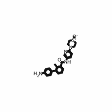 Cc1c(C(=O)Nc2ccc(N3CC[S+]([O-])CC3)nc2)cccc1-c1ccc(N)cc1